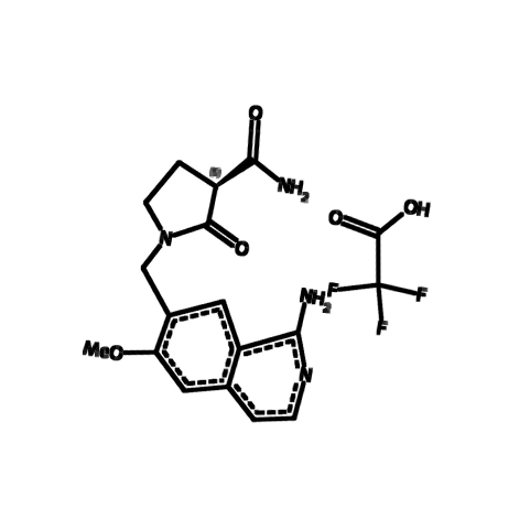 COc1cc2ccnc(N)c2cc1CN1CC[C@@H](C(N)=O)C1=O.O=C(O)C(F)(F)F